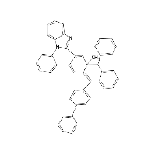 CC12C=C(c3nc4ccccc4n3-c3ccccc3)C=CC1=C(c1ccc(-c3ccccc3)cc1)c1ccccc1C2c1ccccc1